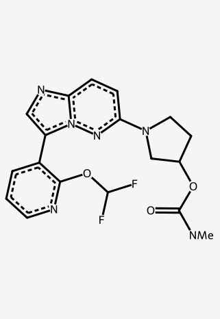 CNC(=O)OC1CCN(c2ccc3ncc(-c4cccnc4OC(F)F)n3n2)C1